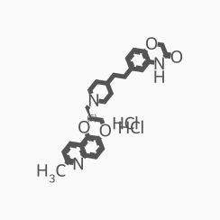 Cc1ccc2c3c(ccc2n1)OC[C@H](CN1CCC(CCc2ccc4c(c2)NC(=O)CO4)CC1)O3.Cl.Cl